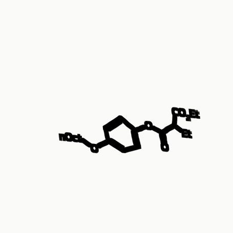 CCCCCCCCOc1ccc(OC(=O)C(CC)C(=O)OCC)cc1